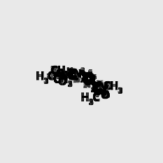 Cc1cc(-c2ccc(CN3CC4CC3CN4C(=O)OC(C)(C)C)cc2)cn(C)c1=O